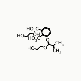 C=C(C)C(=O)OCCO.O=C(O)c1ccccc1C(=O)O.OCCO